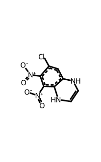 O=[N+]([O-])c1c(Cl)cc2c(c1[N+](=O)[O-])NC=CN2